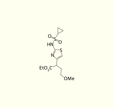 CCOC(=O)C(CCOC)c1csc(NS(=O)(=O)C2CC2)n1